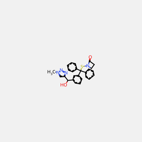 Cn1cc(C(O)c2cccc(C(SN3CCC3=O)(c3ccccc3)c3ccccc3)c2)nn1